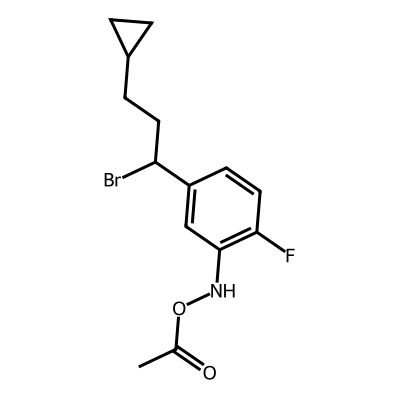 CC(=O)ONc1cc(C(Br)CCC2CC2)ccc1F